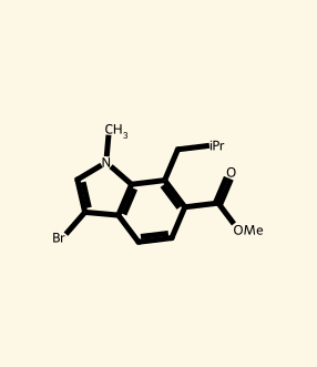 COC(=O)c1ccc2c(Br)cn(C)c2c1CC(C)C